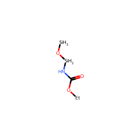 CCOC(=O)N[SiH2]O[SiH3]